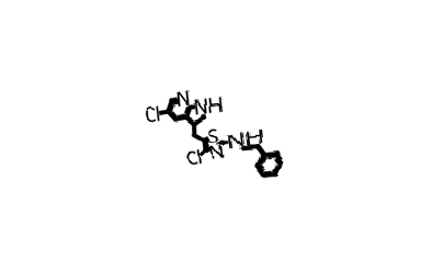 Clc1cnc2c(c1)C(Cc1sc(NCCc3ccccc3)nc1Cl)CN2